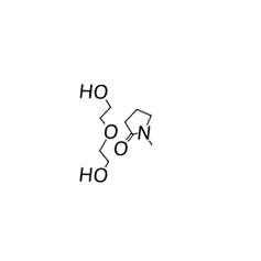 CN1CCCC1=O.OCCOCCO